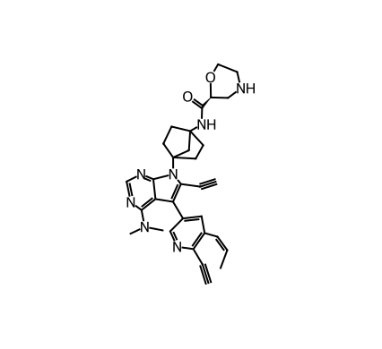 C#Cc1ncc(-c2c(C#C)n(C34CCC(NC(=O)[C@@H]5CNCCO5)(CC3)C4)c3ncnc(N(C)C)c23)cc1/C=C\C